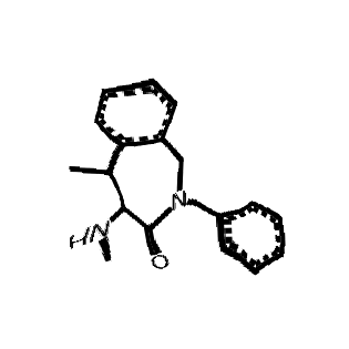 CNC1C(=O)N(c2ccccc2)Cc2ccccc2C1C